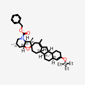 CC[Si](CC)(CC)OC1=C[C@H]2CC[C@H]3[C@@H]4CCC5(CC(C)=C4C[C@@H]3[C@@]2(C)CC1)O[C@@H]1C[C@H](C)CN(C(=O)OCc2ccccc2)[C@H]1[C@H]5C